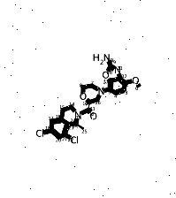 COc1ccc(N2CCO[C@@H](C(=O)N3CCc4cc(Cl)cc(Cl)c4[C@@H]3C)C2)c2oc(N)nc12